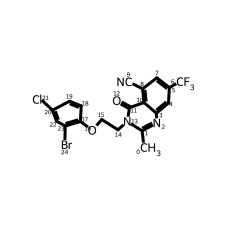 Cc1nc2cc(C(F)(F)F)cc(C#N)c2c(=O)n1CCOc1ccc(Cl)cc1Br